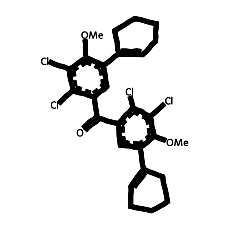 COc1c(C2=CCCCC2)cc(C(=O)c2cc(C3=CCCCC3)c(OC)c(Cl)c2Cl)c(Cl)c1Cl